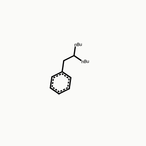 CCCCC(CCCC)Cc1cc[c]cc1